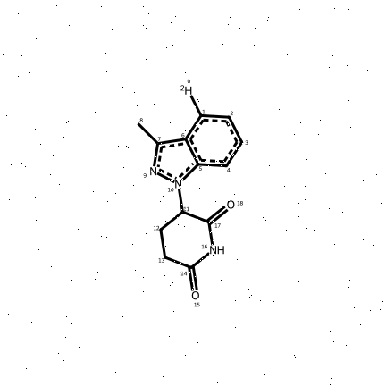 [2H]c1cccc2c1c(C)nn2C1CCC(=O)NC1=O